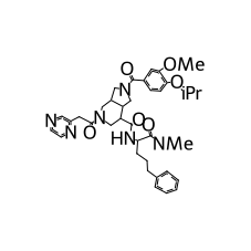 CNC(=O)C(CCCc1ccccc1)NC(=O)C1CN(C(=O)Cc2cnccn2)CC2CN(C(=O)c3ccc(OC(C)C)c(OC)c3)CC21